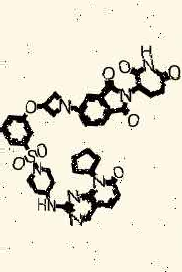 O=C1CCC(N2C(=O)c3ccc(N4CC(Oc5cccc(S(=O)(=O)N6CCC(Nc7ncc8ccc(=O)n(C9CCCC9)c8n7)CC6)c5)C4)cc3C2=O)C(=O)N1